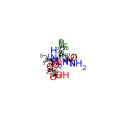 CC[C@H](C)[C@H](NC(=O)[C@H]1C(C[C@H](N)C(N)=O)[C@H]1CC(F)F)C(=O)O[C@@H](C)CC(=O)O